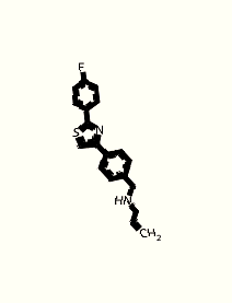 C=CCNCc1ccc(-c2csc(-c3ccc(F)cc3)n2)cc1